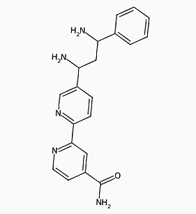 NC(=O)c1ccnc(-c2ccc(C(N)CC(N)c3ccccc3)cn2)c1